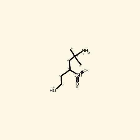 CC(C)(N)CC(CCO)[SH](=O)=O